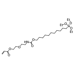 C=CC(=O)OCCOCCNC(=O)OCCCCCCCCCCC[Si](OCC)(OCC)OCC